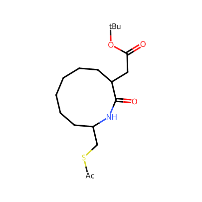 CC(=O)SCC1CCCCCCC(CC(=O)OC(C)(C)C)C(=O)N1